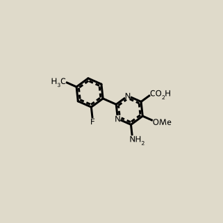 COc1c(N)nc(-c2ccc(C)cc2F)nc1C(=O)O